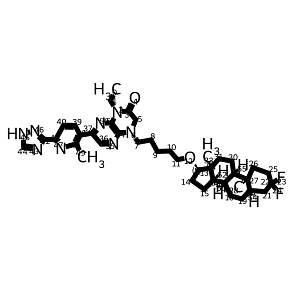 CCN1C(=O)CN(CCCCCO[C@H]2CC[C@H]3[C@@H]4CC[C@H]5CC(F)(F)CC[C@]5(C)[C@H]4CC[C@]23C)c2ncc(-c3ccc(-c4nc[nH]n4)nc3C)nc21